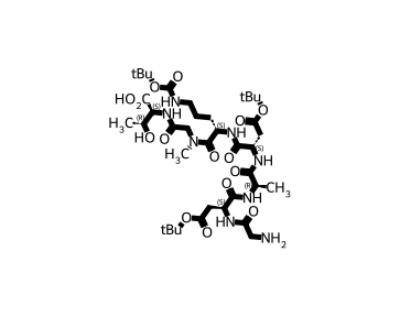 C[C@@H](NC(=O)[C@H](CC(=O)OC(C)(C)C)NC(=O)CN)C(=O)N[C@@H](CC(=O)OC(C)(C)C)C(=O)N[C@@H](CCCNC(=O)OC(C)(C)C)C(=O)N(C)CC(=O)N[C@H](C(=O)O)[C@@H](C)O